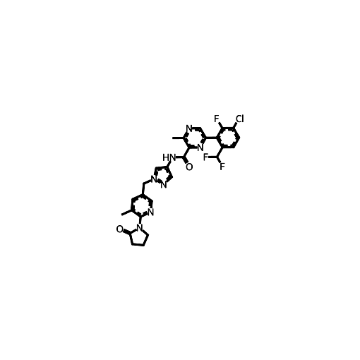 Cc1cc(Cn2cc(NC(=O)c3nc(-c4c(C(F)F)ccc(Cl)c4F)cnc3C)cn2)cnc1N1CCCC1=O